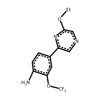 CCOc1cncc(-c2ccc(N)c(OC(F)(F)F)c2)n1